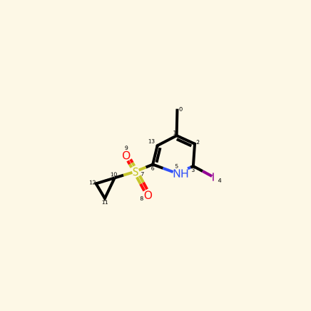 CC1=CC(I)NC(S(=O)(=O)C2CC2)=C1